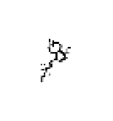 CCOC(=O)/C=C/c1ccc(Cl)c2c1CCN(C)CC2